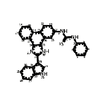 S=C(Nc1ccccc1)Nc1ccc2c3ccccc3c3nc(-c4c[nH]c5ccccc45)[nH]c3c2c1